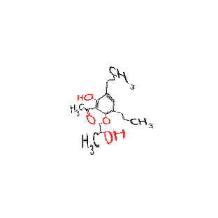 CCCc1cc(CCC)c(OCC(C)O)c(C(C)=O)c1O